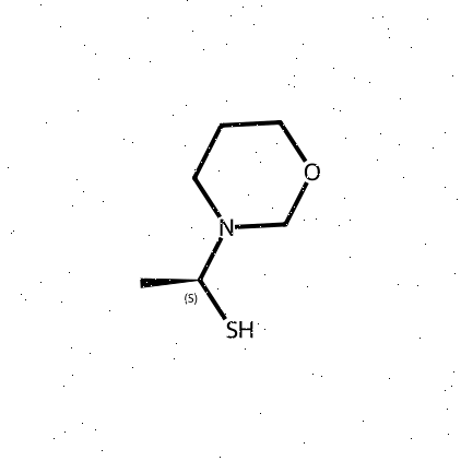 C[C@H](S)N1CCCOC1